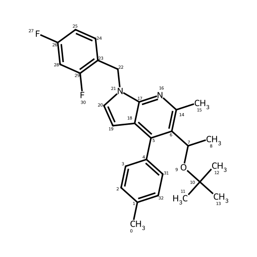 Cc1ccc(-c2c(C(C)OC(C)(C)C)c(C)nc3c2ccn3Cc2ccc(F)cc2F)cc1